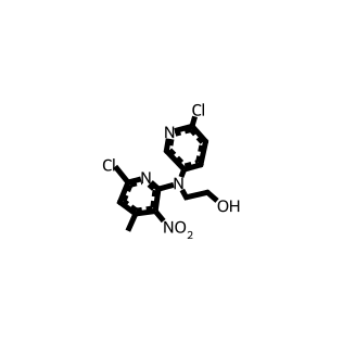 Cc1cc(Cl)nc(N(CCO)c2ccc(Cl)nc2)c1[N+](=O)[O-]